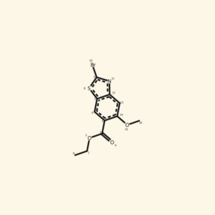 CCOC(=O)c1cc2sc(Br)nc2cc1OC